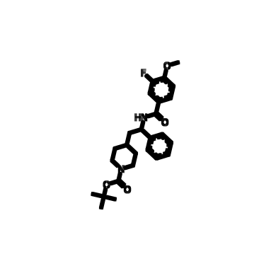 COc1ccc(C(=O)NC(CC2CCN(C(=O)OC(C)(C)C)CC2)c2ccccc2)cc1F